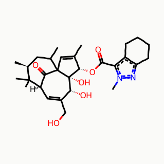 CC1=CC23C(=O)[C@@H](C=C(CO)[C@@H](O)[C@]2(O)[C@H]1OC(=O)c1c2c(nn1C)CCCC2)C(C)(C)[C@@H](C)CC3C